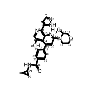 Cc1cnc(-c2ccn[nH]2)c2nc(N3CCOCC3C)cc(-c3ccc(C(=O)NC4CC4)cc3)c12